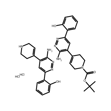 CC(C)(C)OC(=O)N1CC=C(c2cc(-c3ccccc3O)nnc2N)CC1.Cl.Cl.Nc1nnc(-c2ccccc2O)cc1C1=CCNCC1